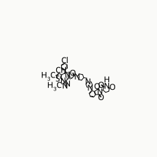 Cc1sc2c(c1C)C(c1ccc(Cl)cc1)=N[C@@H](CC(=O)N1CCC(CN3CCN(c4cccc5c4C(=O)N(C4CCC(=O)NC4=O)C5=O)CC3)CC1)c1nnc(C)n1-2